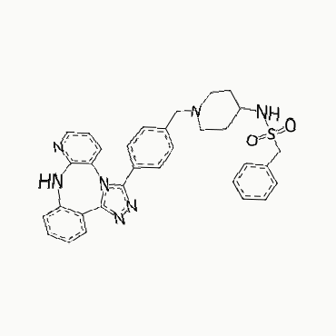 O=S(=O)(Cc1ccccc1)NC1CCN(Cc2ccc(-c3nnc4n3-c3cccnc3Nc3ccccc3-4)cc2)CC1